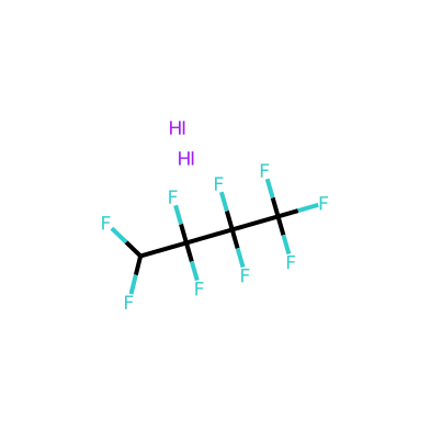 FC(F)C(F)(F)C(F)(F)C(F)(F)F.I.I